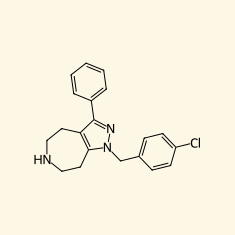 Clc1ccc(Cn2nc(-c3ccccc3)c3c2CCNCC3)cc1